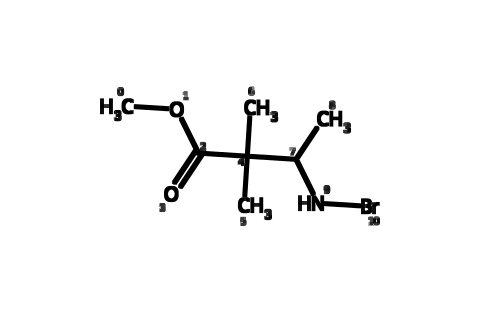 COC(=O)C(C)(C)C(C)NBr